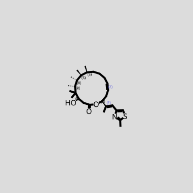 C/C(=C\c1csc(C)n1)[C@@H]1C/C=C\CCC[C@H](C)[C@H](C)[C@@H](C)[C@@H](C)C(C)(C)[C@H](O)CC(=O)O1